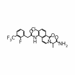 CC(C(N)=O)n1ccc2c(NC(=O)Cc3cccc(C(F)(F)F)c3F)c(Cl)ccc2c1=O